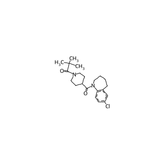 CC(C)(C)C(=O)N1CCC(C(=O)N2CCCCc3cc(Cl)ccc32)CC1